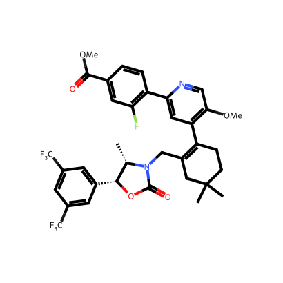 COC(=O)c1ccc(-c2cc(C3=C(CN4C(=O)O[C@H](c5cc(C(F)(F)F)cc(C(F)(F)F)c5)[C@@H]4C)CC(C)(C)CC3)c(OC)cn2)c(F)c1